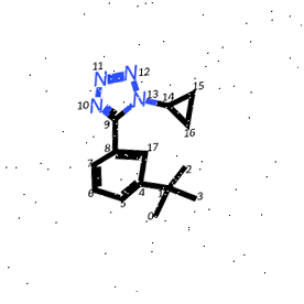 CC(C)(C)c1cccc(-c2nnnn2C2CC2)c1